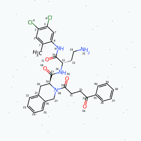 Cc1cc(Cl)c(Cl)cc1NC(=O)[C@H](CCN)NC(=O)[C@@H]1Cc2ccccc2CN1C(=O)CCC(=O)c1ccccc1